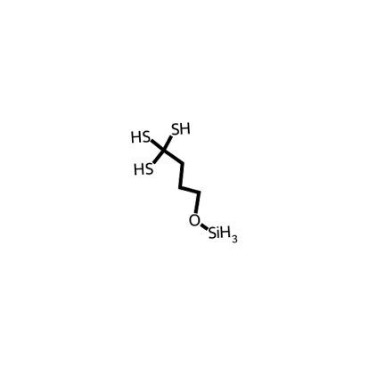 [SiH3]OCCCC(S)(S)S